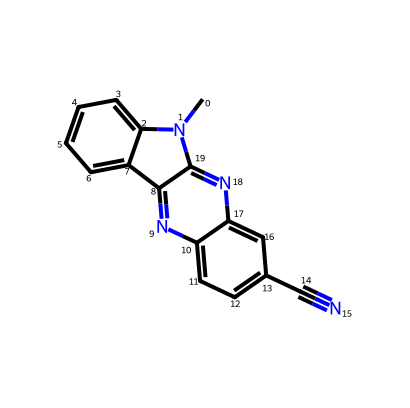 Cn1c2ccccc2c2nc3ccc(C#N)cc3nc21